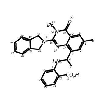 Cc1cc(C(C)Nc2ccccc2C(=O)O)c2nc(N3Cc4ccccc4C3)n(C(C)C)c(=O)c2c1